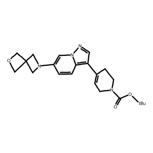 CC(C)(C)OC(=O)N1CC=C(c2cnn3cc(N4CC5(COC5)C4)ccc23)CC1